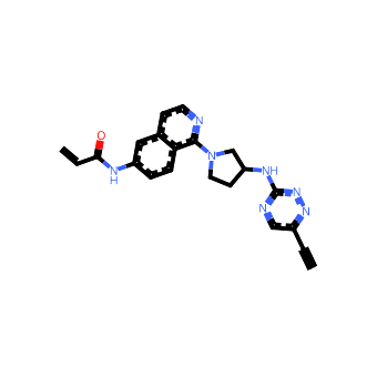 C#Cc1cnc(NC2CCN(c3nccc4cc(NC(=O)C=C)ccc34)C2)nn1